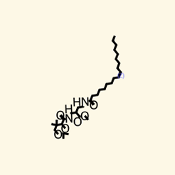 CCCCCCCC/C=C\CCCCCCCC(=O)NCCC(CNC(=O)C1OC(C)(C)OCC1(C)C)C(=O)OC